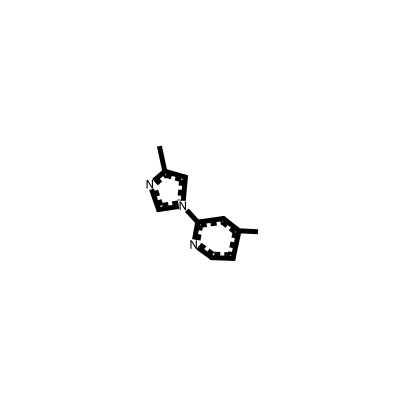 Cc1ccnc(-n2cnc(C)c2)c1